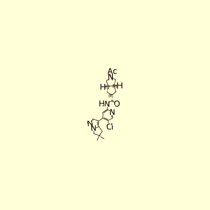 CC(=O)N1C[C@H]2C[C@@H](C(=O)Nc3cc(-c4cnn5c4CC(C)(C)C5)c(Cl)cn3)C[C@H]2C1